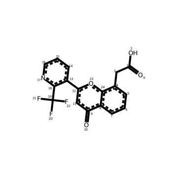 O=C(O)Cc1cccc2c(=O)cc(-c3cccnc3C(F)(F)F)oc12